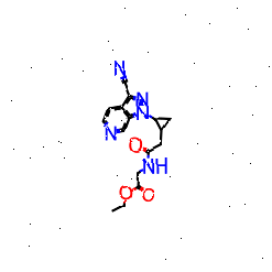 CCOC(=O)CNC(=O)CC1CC1n1nc(C#N)c2ccncc21